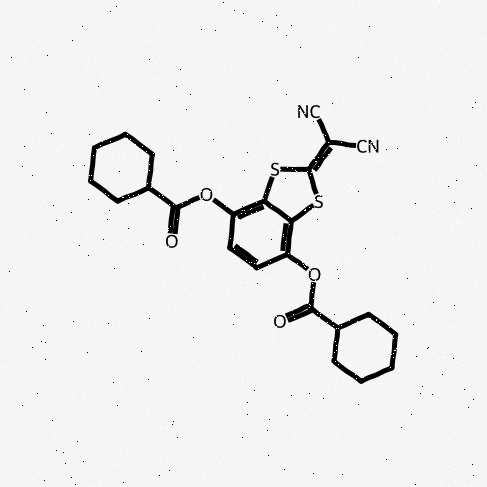 N#CC(C#N)=C1Sc2c(OC(=O)C3CCCCC3)ccc(OC(=O)C3CCCCC3)c2S1